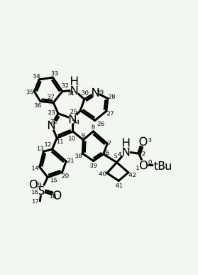 CC(C)(C)OC(=O)NC1(c2ccc(-c3c(-c4ccc(S(C)(=O)=O)cc4)nc4n3-c3cccnc3Nc3ccccc3-4)cc2)CCC1